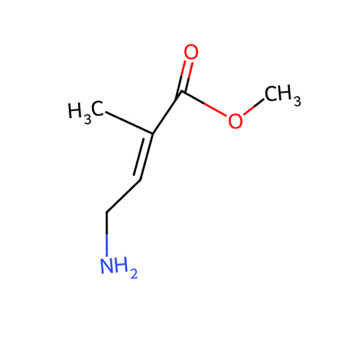 COC(=O)C(C)=CCN